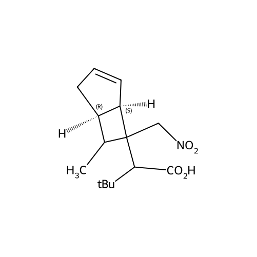 CC1[C@H]2CC=C[C@H]2C1(C[N+](=O)[O-])C(C(=O)O)C(C)(C)C